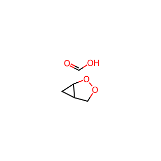 C1OOC2CC12.O=CO